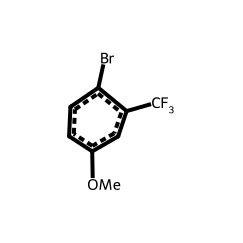 [CH2]Oc1ccc(Br)c(C(F)(F)F)c1